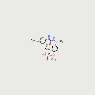 COc1ccc(NC(=O)NC(C)c2ccc(OC(C)(C)C(=O)O)cc2)c(OC)c1